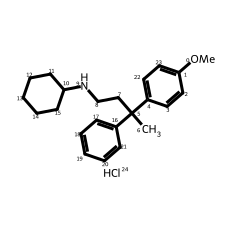 COc1ccc(C(C)(CCNC2CCCCC2)c2ccccc2)cc1.Cl